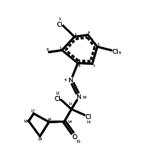 Cc1c(Cl)cc(Cl)cc1N=NC(Cl)(Cl)C(=O)C1CCC1